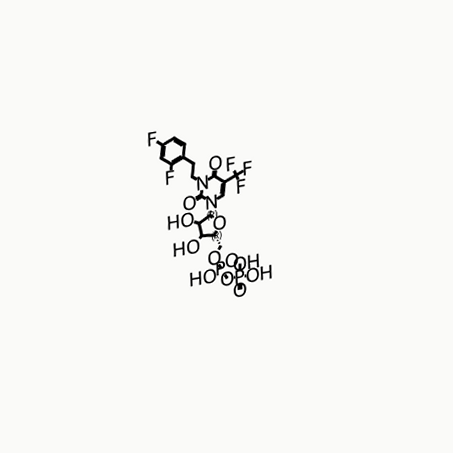 O=c1c(C(F)(F)F)cn([C@@H]2O[C@H](COP(=O)(O)OP(=O)(O)O)C(O)C2O)c(=O)n1CCc1ccc(F)cc1F